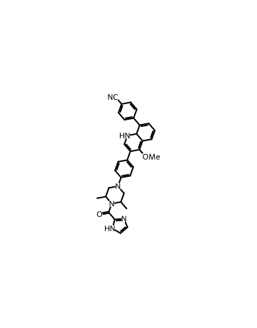 COC1=C2C=CC=C(c3ccc(C#N)cc3)C2NC=C1c1ccc(N2CC(C)N(C(=O)c3ncc[nH]3)C(C)C2)cc1